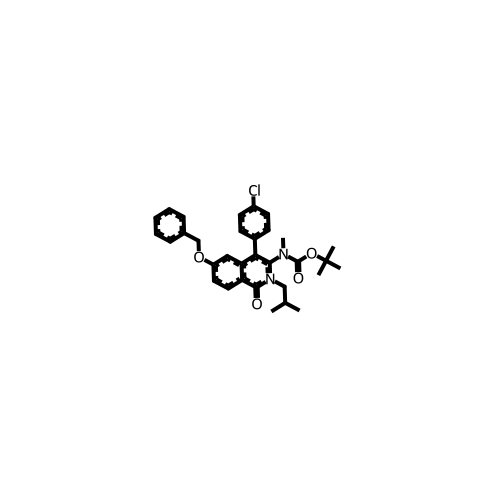 CC(C)Cn1c(N(C)C(=O)OC(C)(C)C)c(-c2ccc(Cl)cc2)c2cc(OCc3ccccc3)ccc2c1=O